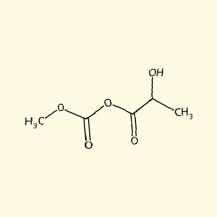 COC(=O)OC(=O)C(C)O